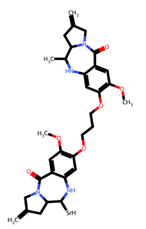 C=C1CC2C(C)Nc3cc(OCCCOc4cc5c(cc4OC)C(=O)N4CC(=C)CC4[CH]([SrH])N5)c(OC)cc3C(=O)N2C1